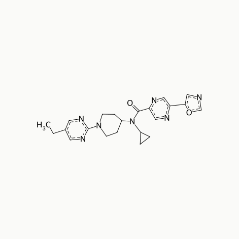 CCc1cnc(N2CCC(N(C(=O)c3cnc(-c4cnco4)cn3)C3CC3)CC2)nc1